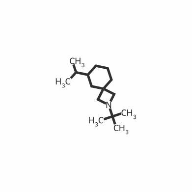 CC(C)C1CCCC2(C1)CN(C(C)(C)C)C2